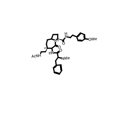 CNC(Cc1ccccc1)C(=O)NC1C(=O)N2C(CC[C@@H]1CCNC(C)=O)CC[C@H]2C(=O)NCCc1ccc(OC)cc1